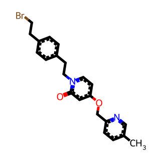 Cc1ccc(COc2ccn(CCc3ccc(CCBr)cc3)c(=O)c2)nc1